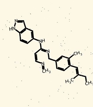 C=N/C=C\C(=N/Cc1ccc(/C=C(\C)CC)c(C)c1)Nc1ccc2[nH]ncc2c1